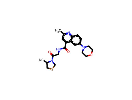 Cc1cc(C(=O)NCC(=O)N2CSCC2C#N)c2cc(N3CCOCC3)ccc2n1